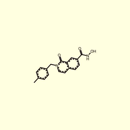 Cc1ccc(Cn2ccc3ccc(C(=O)NO)cc3c2=O)cc1